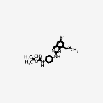 COCc1cc(Br)cc2cnc(N[C@H]3CC[C@H](NC(=O)OC(C)(C)C)CC3)nc12